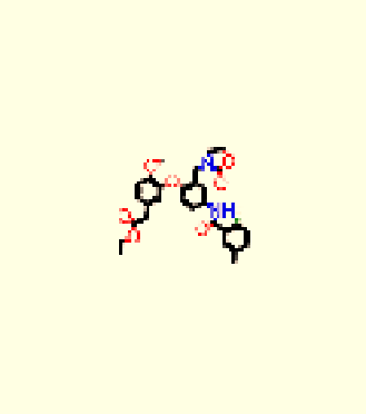 CCOC(=O)Cc1ccc(OC)c(Oc2ccc(NC(=O)c3cc(C)ccc3F)cc2CN2CCOC2=O)c1